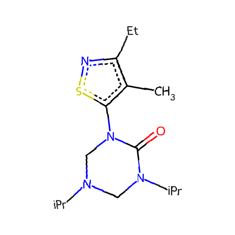 CCc1nsc(N2CN(C(C)C)CN(C(C)C)C2=O)c1C